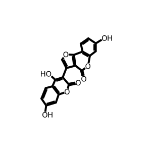 O=c1oc2cc(O)ccc2c(O)c1-c1coc2c1c(=O)oc1cc(O)ccc12